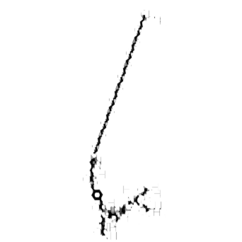 CC(C)CCOCCOCCOCCOCCOCCOCCOCCOCCOCCOCCOCCn1cc(CNC(=O)OCc2ccc(NC(=O)[C@H](CCCNC(N)=O)NC(=O)[C@@H](NC(=O)CON=C(CSC(C)(C)C)CSC(C)(C)C)C(C)C)cc2)nn1